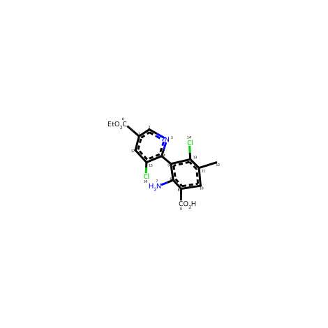 CCOC(=O)c1cnc(-c2c(N)c(C(=O)O)cc(C)c2Cl)c(Cl)c1